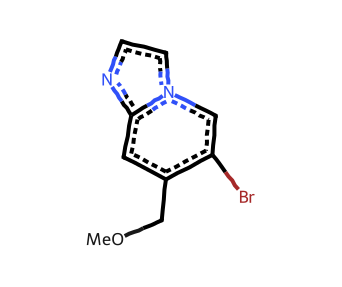 COCc1cc2nccn2cc1Br